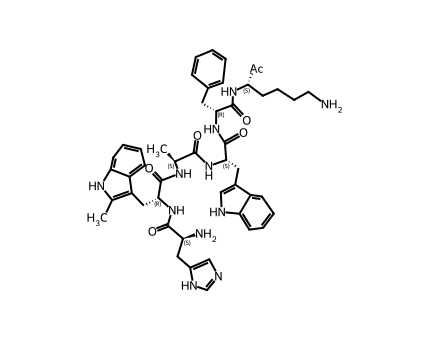 CC(=O)[C@H](CCCCN)NC(=O)[C@@H](Cc1ccccc1)NC(=O)[C@H](Cc1c[nH]c2ccccc12)NC(=O)[C@H](C)NC(=O)[C@@H](Cc1c(C)[nH]c2ccccc12)NC(=O)[C@@H](N)Cc1cnc[nH]1